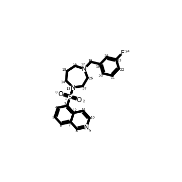 O=S(=O)(c1cccc2cnccc12)N1CCCN(Cc2cccc(F)c2)CC1